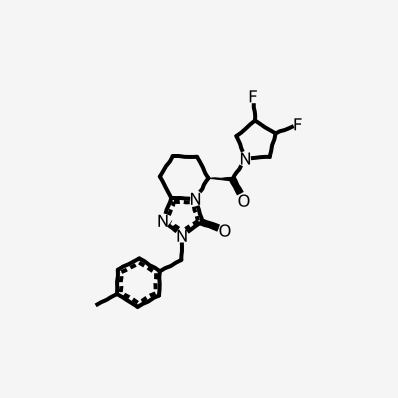 Cc1ccc(Cn2nc3n(c2=O)[C@H](C(=O)N2CC(F)C(F)C2)CCC3)cc1